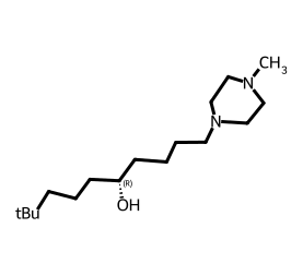 CN1CCN(CCCC[C@H](O)CCCC(C)(C)C)CC1